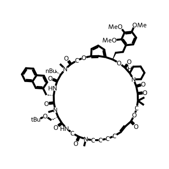 CCCC[C@H]1C(=O)N[C@@H](Cc2ccc3ccccc3c2)C(=O)N(C)[C@@H](COC(C)(C)C)C(=O)NCC(=O)N(C)CCCC/C=C/C(=O)OCC(C)(C)C(=O)C(=O)N2CCCC[C@H]2C(=O)O[C@H](CCc2ccc(OC)c(OC)c2OC)c2cccc(c2)OCC(=O)N1C